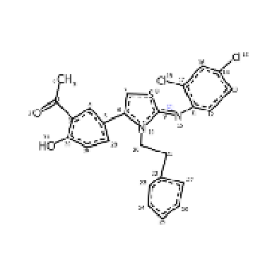 CC(=O)c1cc(-c2cs/c(=N\c3ccc(Cl)cc3Cl)n2CCc2ccccc2)ccc1O